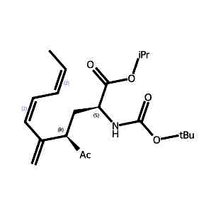 C=C(/C=C\C=C/C)[C@@H](C[C@H](NC(=O)OC(C)(C)C)C(=O)OC(C)C)C(C)=O